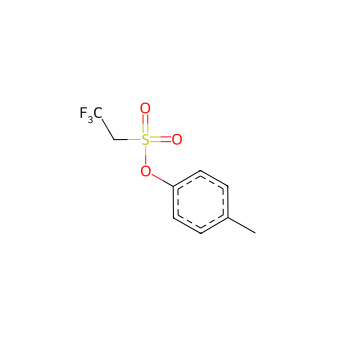 Cc1ccc(OS(=O)(=O)CC(F)(F)F)cc1